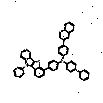 c1ccc(-c2ccc(N(c3ccc(-c4ccc5ccccc5c4)cc3)c3ccc(-c4cccc5c4sc4c6ccccc6n(-c6ccccc6)c54)cc3)cc2)cc1